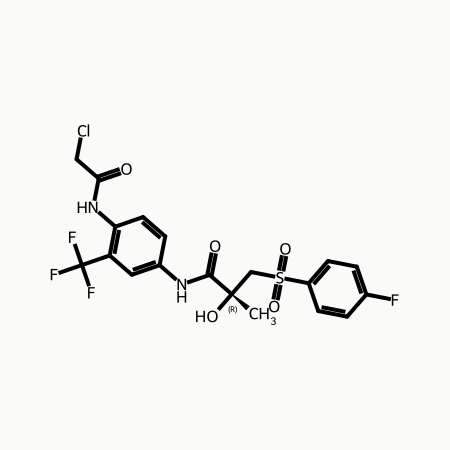 C[C@](O)(CS(=O)(=O)c1ccc(F)cc1)C(=O)Nc1ccc(NC(=O)CCl)c(C(F)(F)F)c1